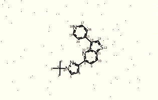 CC(C)(C)n1ccc(-c2ccc3scc(-c4ccncc4)c3n2)n1